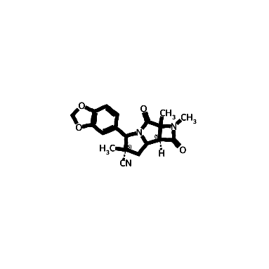 CN1C(=O)[C@H]2C3C[C@](C)(C#N)C(c4ccc5c(c4)OCO5)N3C(=O)C21C